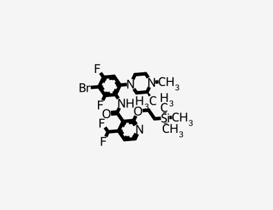 C[C@H]1CN(c2cc(F)c(Br)c(F)c2NC(=O)c2c(C(F)F)ccnc2OCC[Si](C)(C)C)CCN1C